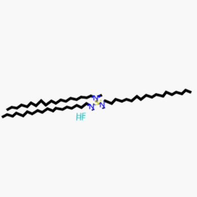 CCCCCCCCCCCCCCCCCCN(C)[S+](N(C)CCCCCCCCCCCCCCCCCC)N(C)CCCCCCCCCCCCCCCCCC.F.F